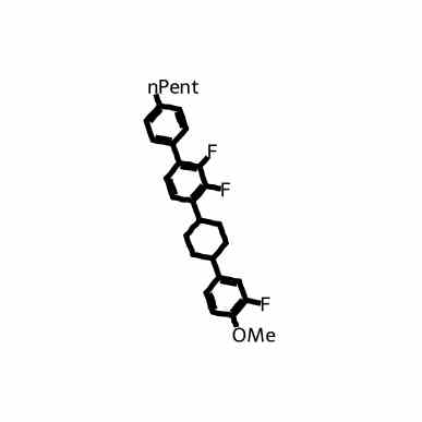 CCCCCc1ccc(-c2ccc(C3CCC(c4ccc(OC)c(F)c4)CC3)c(F)c2F)cc1